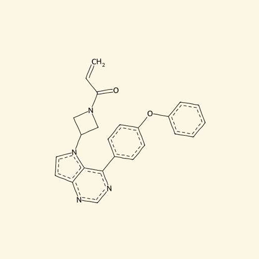 C=CC(=O)N1CC(n2ccc3ncnc(-c4ccc(Oc5ccccc5)cc4)c32)C1